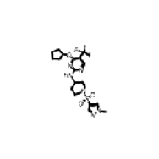 Cn1cc(S(=O)(=O)N2CCC(Nc3ncc(C(F)(F)F)c(OC4CCCC4)n3)CC2)cn1